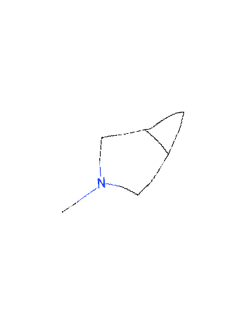 CN1CC2CC2C1